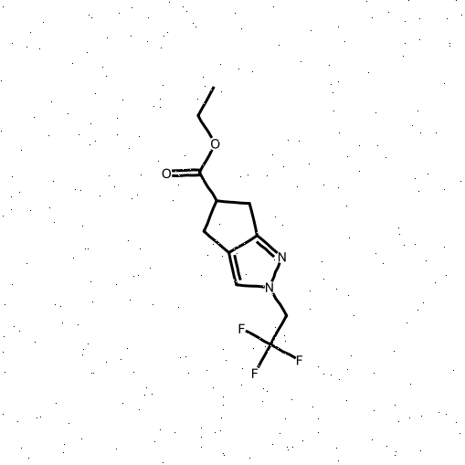 CCOC(=O)C1Cc2cn(CC(F)(F)F)nc2C1